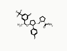 C[C@@H](O[C@H]1CC[C@H](CN2CCC[C@@H]2C(N)=O)[C@H]1c1ccc(F)cc1)c1cc(F)cc(C(F)(F)F)c1